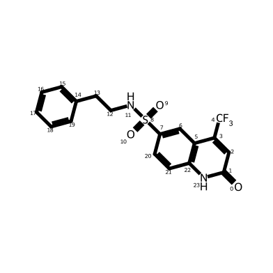 O=c1cc(C(F)(F)F)c2cc(S(=O)(=O)NCCc3ccccc3)ccc2[nH]1